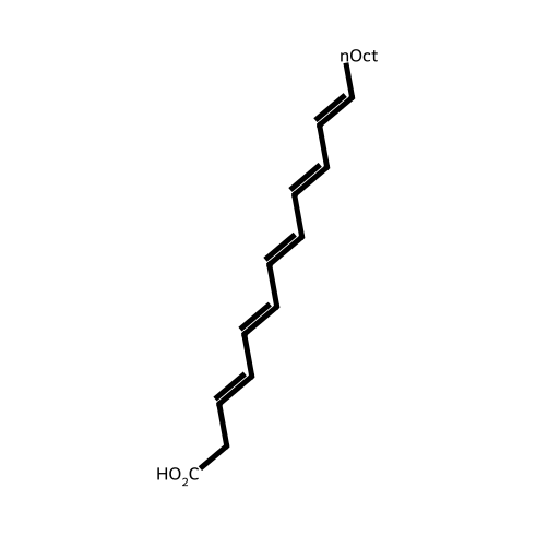 CCCCCCCCC=CC=CC=CC=CC=CCC(=O)O